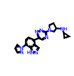 c1cnn(-c2ccc(-c3cnc(N4CCC(NC5CC5)C4)nn3)c3cn[nH]c23)c1